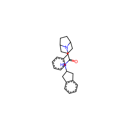 O=C(NC1Cc2ccccc2C1)C1CC2CCC(C1)N2Cc1ccccc1